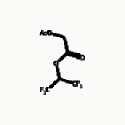 CC(=O)OCC(=O)OC(C(F)(F)F)C(F)(F)F